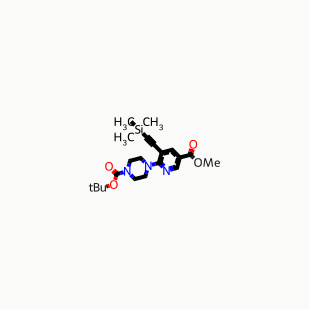 COC(=O)c1cnc(N2CCN(C(=O)OC(C)(C)C)CC2)c(C#C[Si](C)(C)C)c1